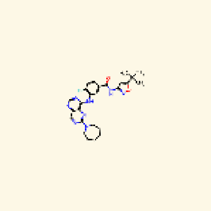 CC(C)(C)c1cc(NC(=O)c2ccc(F)c(Nc3ncnc4cnc(N5CCCCCC5)nc34)c2)no1